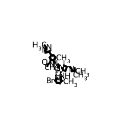 CC(=O)c1nn(CC(=O)N2[C@H](I)[C@@H](CN3CC(C)(C)C3)C[C@H]2C(=O)Nc2nc(Br)ccc2C)c2c(C)cc(-c3cnc(C)nc3)cc12